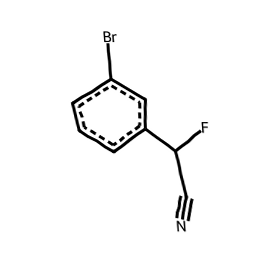 N#CC(F)c1cccc(Br)c1